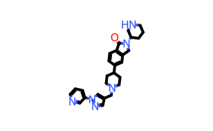 O=C1c2ccc(C3CCN(Cc4cnn(-c5cccnc5)c4)CC3)cc2CN1C1CCCNC1